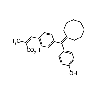 C/C(=C/c1ccc(C(=C2CCCCCCC2)c2ccc(O)cc2)cc1)C(=O)O